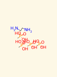 CP(=O)(O)O.CP(=O)(O)O.CP(=O)(O)O.CP(=O)(O)O.NCCN